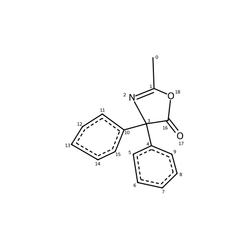 CC1=NC(c2ccccc2)(c2ccccc2)C(=O)O1